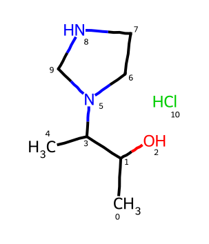 CC(O)C(C)N1CCNC1.Cl